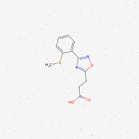 CSc1ccccc1-c1noc(CCC(=O)O)n1